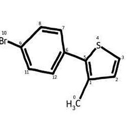 Cc1ccsc1-c1ccc(Br)cc1